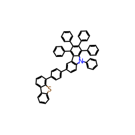 c1ccc(-c2c(-c3ccccc3)c(-c3ccccc3)c3c(c2-c2ccccc2)c2cc(-c4ccc(-c5cccc6c5sc5ccccc56)cc4)ccc2n3-c2ccccc2)cc1